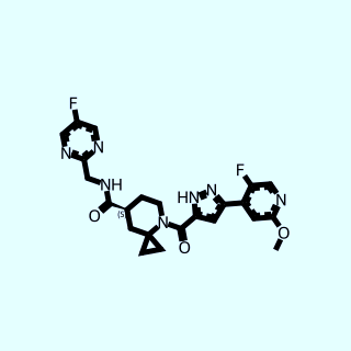 COc1cc(-c2cc(C(=O)N3CC[C@H](C(=O)NCc4ncc(F)cn4)CC34CC4)[nH]n2)c(F)cn1